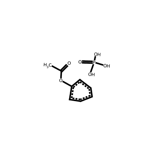 CC(=O)Oc1ccccc1.O=P(O)(O)O